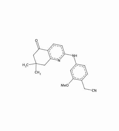 COc1cc(Nc2ccc3c(n2)CC(C)(C)CC3=O)ccc1CC#N